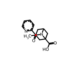 CC1CC2CC(C(=O)O)(C1)N2C(=O)c1ccccn1